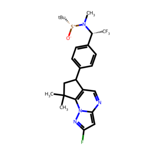 CN([C@@H](c1ccc(C2CC(C)(C)c3c2cnc2cc(F)nn32)cc1)C(F)(F)F)[S@+]([O-])C(C)(C)C